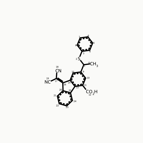 CC(Sc1ccccc1)c1cc(C(=O)O)c2c(c1)C(=C(C#N)C#N)c1ccccc1-2